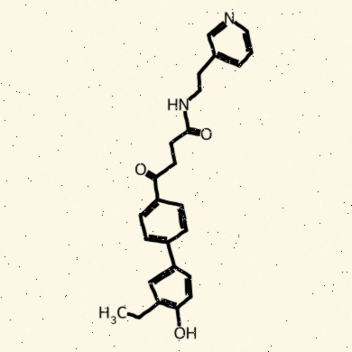 CCc1cc(-c2ccc(C(=O)CCC(=O)NCCc3cccnc3)cc2)ccc1O